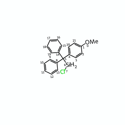 COc1ccc(C([SiH2]Cl)(c2ccccc2)c2ccccc2)cc1